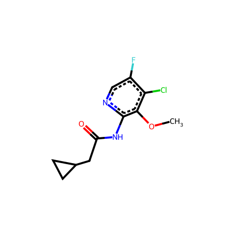 COc1c(NC(=O)CC2CC2)ncc(F)c1Cl